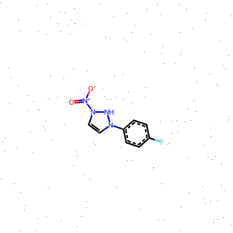 O=[N+]([O-])N1C=CN(c2ccc(F)cc2)N1